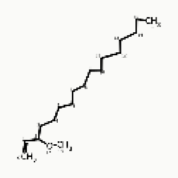 C=CC(CCCCCCCCCCCCCC)OC